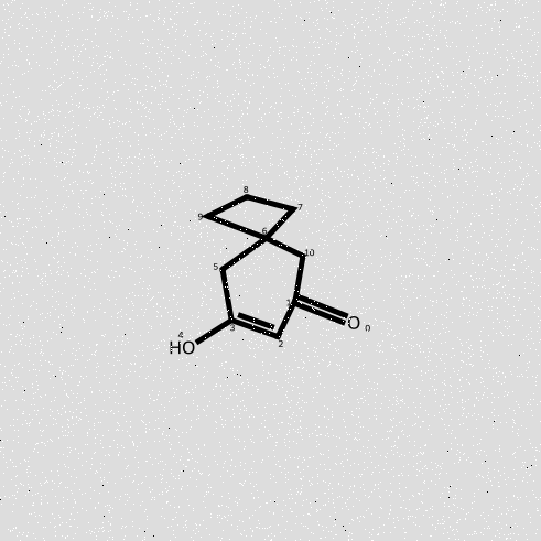 O=C1C=C(O)CC2(CCC2)C1